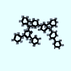 c1ccc(-c2ccc(-n3c4ccccc4c4cc(-c5ccc6c7ccccc7n(-c7cc(-c8ccccc8)cc(-c8ccccc8)n7)c6c5)ccc43)cc2)cc1